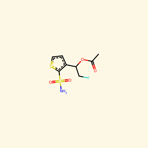 CC(=O)OC(CF)c1ccsc1S(N)(=O)=O